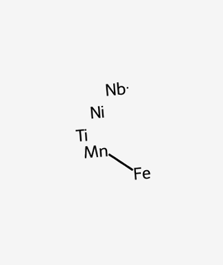 [Mn][Fe].[Nb].[Ni].[Ti]